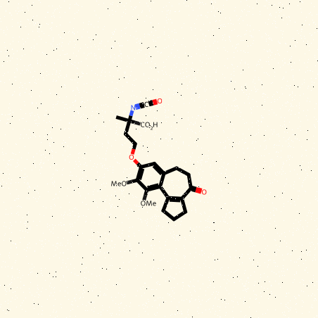 COc1c(OCCC(C)(N=C=O)C(=O)O)cc2c(c1OC)C1=C(CCC1)C(=O)CC2